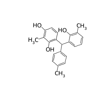 Cc1ccc(C(c2cccc(C)c2O)c2ccc(O)c(C)c2O)cc1